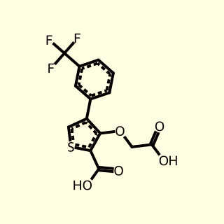 O=C(O)COc1c(-c2cccc(C(F)(F)F)c2)csc1C(=O)O